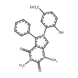 CCOC(=O)c1ccc(O)c(-n2cc3c(c2-c2ccccc2)c(=O)n(C)c(=O)n3C)c1